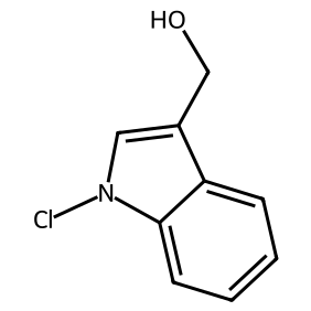 OCc1cn(Cl)c2ccccc12